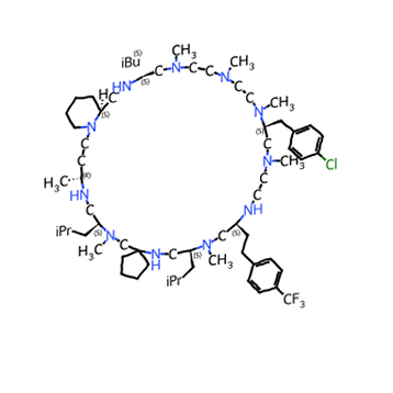 CC[C@H](C)[C@H]1CN(C)CCN(C)CCN(C)[C@@H](Cc2ccc(Cl)cc2)CN(C)CCN[C@@H](CCc2ccc(C(F)(F)F)cc2)CN(C)[C@@H](CC(C)C)CNC2(CCCC2)CN(C)[C@@H](CC(C)C)CN[C@H](C)CCN2CCCC[C@H]2CN1